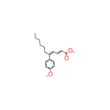 CCCCCC/C(=C/C=C/C(=O)OC)c1ccc(OC)cc1